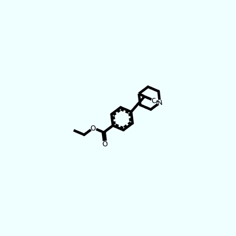 CCOC(=O)c1ccc(C2CN3CCC2CC3)cc1